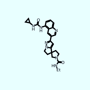 CCNC(=O)N1CCC2(CCn3nc(-c4cnc5cccc(NC(=O)NC6CC6)c5c4)cc32)C1